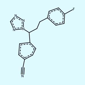 N#Cc1ccc(C(CCc2ccc(F)cc2)n2ncnn2)cc1